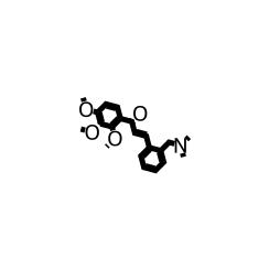 COc1ccc(C(=O)C=Cc2ccccc2CN(C)C)c(OC)c1OC